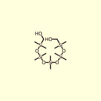 C[Si](C)(CO)O[Si](C)(C)O[Si](C)(C)O[Si](C)(C)O[Si](C)(C)CO